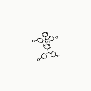 Clc1ccc(C(c2ccc(Cl)cc2)c2cncnc2)cc1.OC(c1ccc(Cl)cc1)(c1ccc(Cl)cc1)c1cnccn1